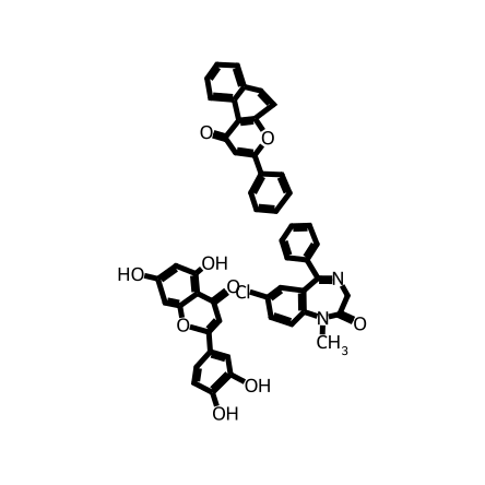 CN1C(=O)CN=C(c2ccccc2)c2cc(Cl)ccc21.O=c1cc(-c2ccc(O)c(O)c2)oc2cc(O)cc(O)c12.O=c1cc(-c2ccccc2)oc2ccc3ccccc3c12